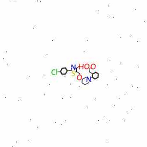 Cc1nc(-c2ccc(Cl)cc2)sc1COC1CCCN(c2ccccc2CC(=O)O)C1